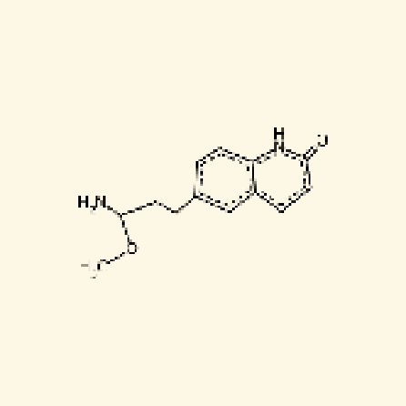 COC(N)CCc1ccc2[nH]c(=O)ccc2c1